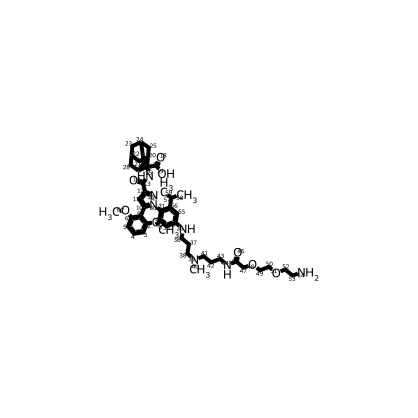 COc1cccc(OC)c1-c1cc(C(=O)NC2(C(=O)O)C3CC4CC(C3)CC2C4)nn1-c1ccc(NCCCN(C)CCCNC(=O)COCCOCCN)cc1C(C)C